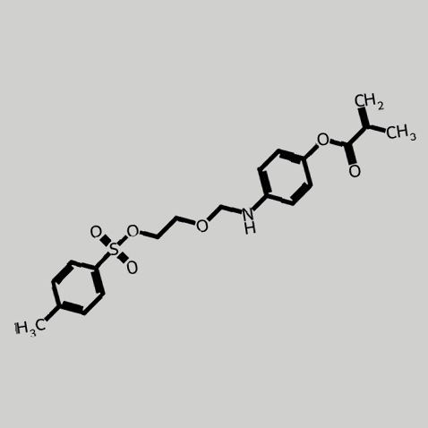 C=C(C)C(=O)Oc1ccc(NCOCCOS(=O)(=O)c2ccc(C)cc2)cc1